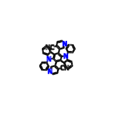 N#Cc1ccncc1-c1c2c3ccccc3n(-c3ccccc3)c2c(-c2cnccc2C#N)c2c3ccccc3n(-c3ccccc3)c12